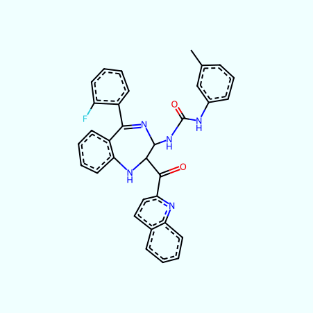 Cc1cccc(NC(=O)NC2N=C(c3ccccc3F)c3ccccc3NC2C(=O)c2ccc3ccccc3n2)c1